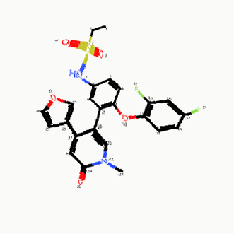 CCS(=O)(=O)Nc1ccc(Oc2ccc(F)cc2F)c(-c2cn(C)c(=O)cc2-c2ccoc2)c1